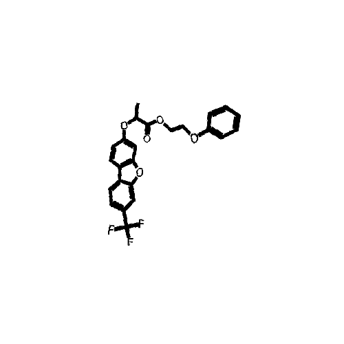 CC(Oc1ccc2c(c1)oc1cc(C(F)(F)F)ccc12)C(=O)OCCOc1ccccc1